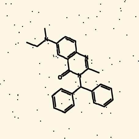 CCN(C)c1ccc2nc(C)n(C(c3ccccc3)c3ccccc3)c(=O)c2c1